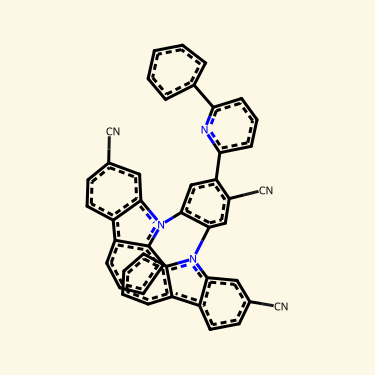 N#Cc1ccc2c3ccccc3n(-c3cc(C#N)c(-c4cccc(-c5ccccc5)n4)cc3-n3c4ccccc4c4ccc(C#N)cc43)c2c1